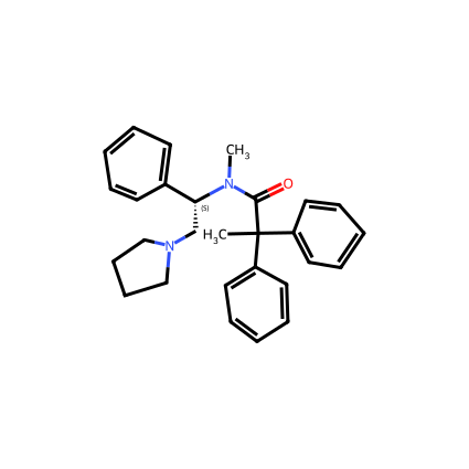 CN(C(=O)C(C)(c1ccccc1)c1ccccc1)[C@H](CN1CCCC1)c1ccccc1